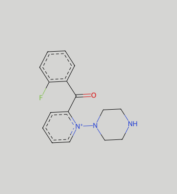 O=C(c1ccccc1F)c1cccc[n+]1N1CCNCC1